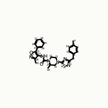 Cc1ccc(Cc2nsc(N3CCN(C(=O)Nc4c(C)noc4-c4ccccc4)C(C)C3)n2)cc1